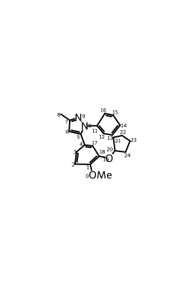 COc1ccc(-c2cc(C)nn2-c2ccccc2)cc1OC1CCCC1